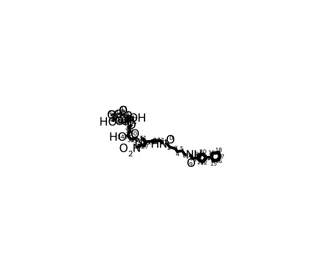 O=C(CCCCCNC(=O)c1ccc(-c2ccccc2)cc1)NCC#Cc1cc([N+](=O)[O-])n([C@H]2CC(O)[C@@H](COP(=O)(O)OP(=O)(O)OP(=O)(O)O)O2)c1